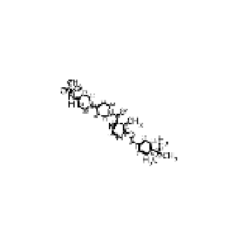 Cc1c(OCc2ccc(C(C)(C)C)cc2)ncnc1C(=O)N1CCC(N2CCC(NS(C)(=O)=O)CC2)CC1